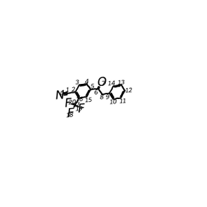 N#Cc1ccc(C(=O)Cc2ccccc2)cc1C(F)(F)F